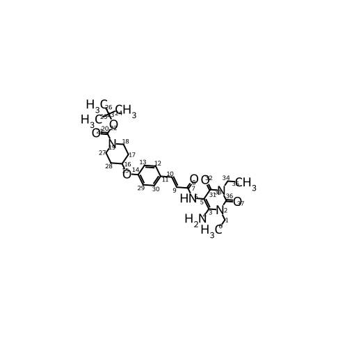 CCn1c(N)c(NC(=O)C=Cc2ccc(OC3CCN(C(=O)OC(C)(C)C)CC3)cc2)c(=O)n(CC)c1=O